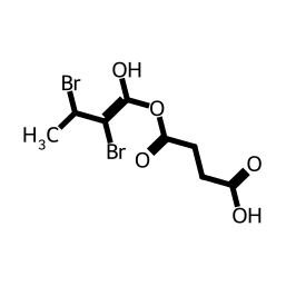 CC(Br)/C(Br)=C(\O)OC(=O)CCC(=O)O